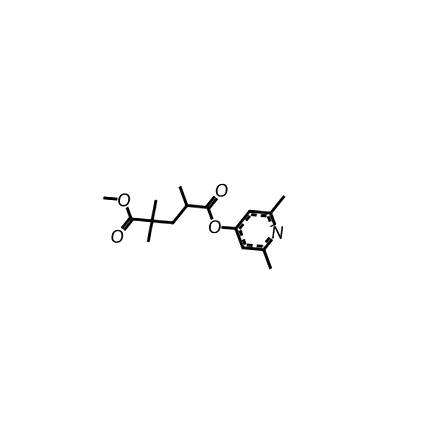 COC(=O)C(C)(C)CC(C)C(=O)Oc1cc(C)nc(C)c1